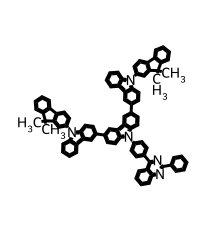 CC1(C)c2ccccc2-c2ccc(-n3c4ccccc4c4cc(-c5ccc6c(c5)c5cc(-c7ccc8c(c7)c7ccccc7n8-c7ccc8c(c7)C(C)(C)c7ccccc7-8)ccc5n6-c5ccc(-c6nc(-c7ccccc7)nc7ccccc67)cc5)ccc43)cc21